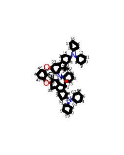 CC1(C)c2cc(N(c3ccccc3)c3ccccc3)ccc2-c2cc3c4c(c21)N(c1ccccc1)c1c2c(cc5c1[Si]4(C)c1c(cccc1O5)O3)-c1ccc(N(c3ccccc3)c3ccccc3)cc1C2(C)C